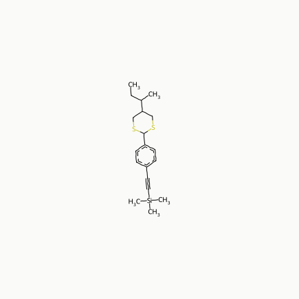 CCC(C)C1CSC(c2ccc(C#C[Si](C)(C)C)cc2)SC1